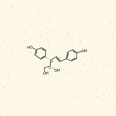 OC[C@@H](O)[C@@H](/C=C/c1ccc(O)cc1)c1ccc(O)cc1